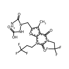 Cc1c(CN(NC(=O)O)C(N)=O)sc2c1c(=O)n(CC(F)(F)F)c(=O)n2CCC(F)(F)F